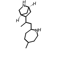 CC1CCNC(CC(C)C2C[C@H]3C[C@@H]2CN3)CC1